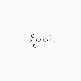 Cc1c(O[C@@H](C)C2CCCCC2)cccc1-c1cccc(-n2ncc(C(=O)O)c2[C@@H]2C[C@H]2c2cn(C)nn2)c1